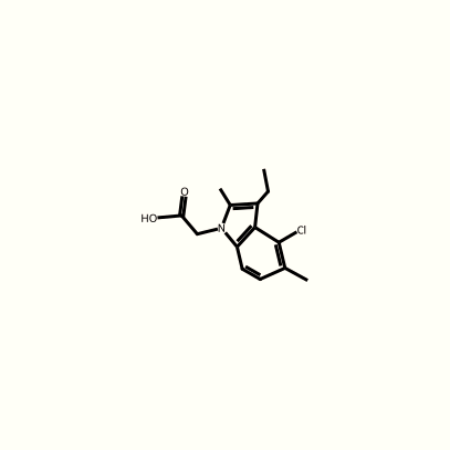 CCc1c(C)n(CC(=O)O)c2ccc(C)c(Cl)c12